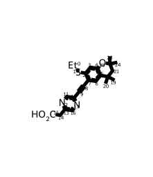 CCSc1cc2c(cc1C#Cc1cnc(CC(=O)O)cn1)C(C)(C)CC(C)(C)O2